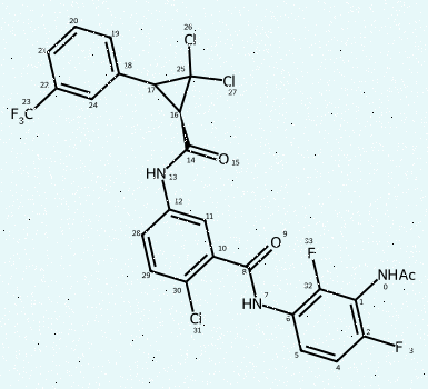 CC(=O)Nc1c(F)ccc(NC(=O)c2cc(NC(=O)[C@H]3C(c4cccc(C(F)(F)F)c4)C3(Cl)Cl)ccc2Cl)c1F